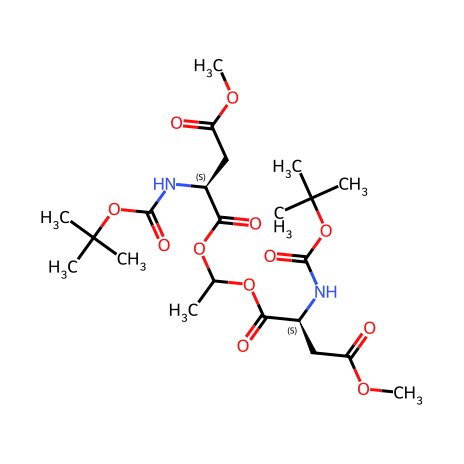 COC(=O)C[C@H](NC(=O)OC(C)(C)C)C(=O)OC(C)OC(=O)[C@H](CC(=O)OC)NC(=O)OC(C)(C)C